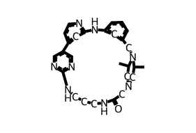 CC1CN2CC(=O)NCCCNc3ncc(cn3)-c3ccnc(c3)Nc3cccc(c3)CN1C(C)C2